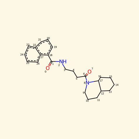 O=C(NCCCC(=O)N1CCCC2CCCCC21)c1cccc2ccccc12